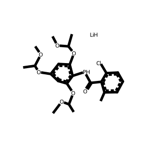 COC(C)Oc1cc(OC(C)OC)c(PC(=O)c2c(C)cccc2Cl)c(OC(C)OC)c1.[LiH]